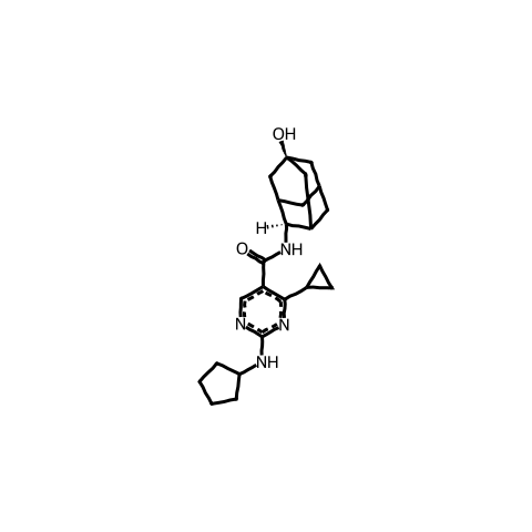 O=C(N[C@H]1C2CC3CC1C[C@@](O)(C3)C2)c1cnc(NC2CCCC2)nc1C1CC1